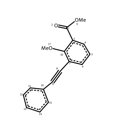 COC(=O)c1cccc(C#Cc2ccccc2)c1OC